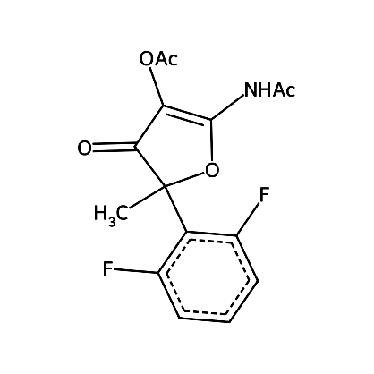 CC(=O)NC1=C(OC(C)=O)C(=O)C(C)(c2c(F)cccc2F)O1